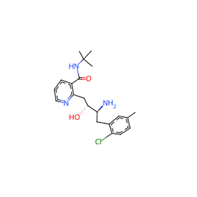 Cc1ccc(Cl)c(C[C@H](N)[C@H](O)Cc2ncccc2C(=O)NC(C)(C)C)c1